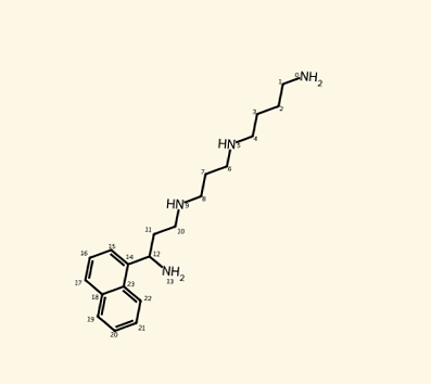 NCCCCNCCCNCCC(N)c1cccc2ccccc12